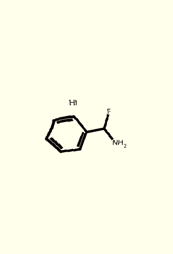 I.NC(F)c1ccccc1